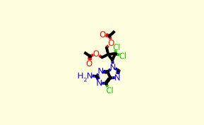 CC(=O)OCC1(COC(C)=O)C(n2cnc3c(Cl)nc(N)nc32)C1(Cl)Cl